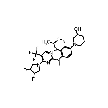 CC(C)Oc1cc(N2CCCC(O)C2)ccc1Nc1ncc(C(F)(F)F)c(N2C[C@H](F)[C@@H](F)C2)n1